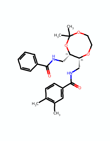 Cc1ccc(C(=O)NC[C@H]2OCCOC(C)(C)O[C@H]2CNC(=O)c2ccccc2)cc1C